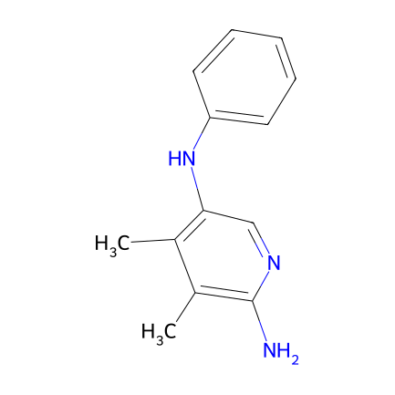 Cc1c(Nc2ccccc2)cnc(N)c1C